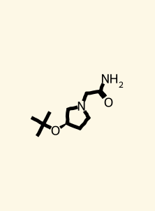 CC(C)(C)O[C@@H]1CCN(CC(N)=O)C1